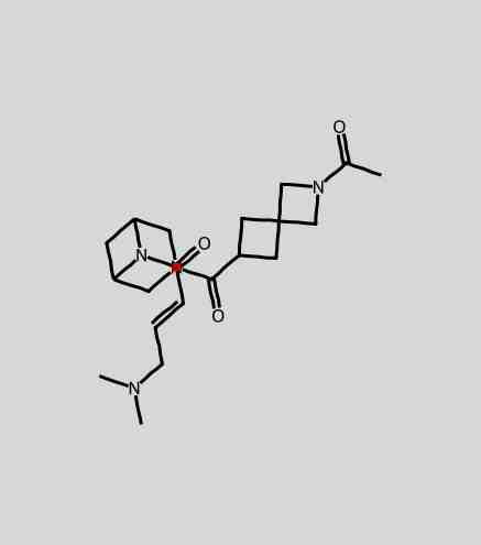 CC(=O)N1CC2(CC(C(=O)N3CC4CC(C3)N4C(=O)/C=C/CN(C)C)C2)C1